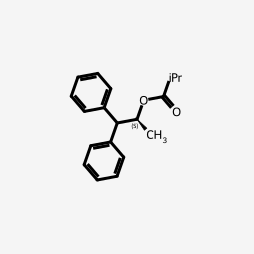 CC(C)C(=O)O[C@@H](C)C(c1ccccc1)c1ccccc1